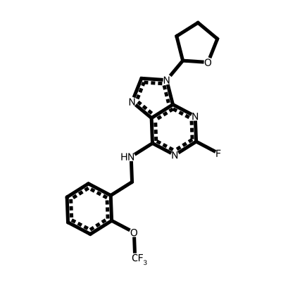 Fc1nc(NCc2ccccc2OC(F)(F)F)c2ncn(C3CCCO3)c2n1